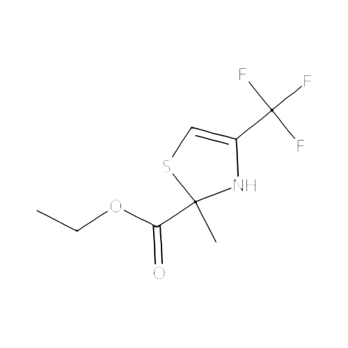 CCOC(=O)C1(C)NC(C(F)(F)F)=CS1